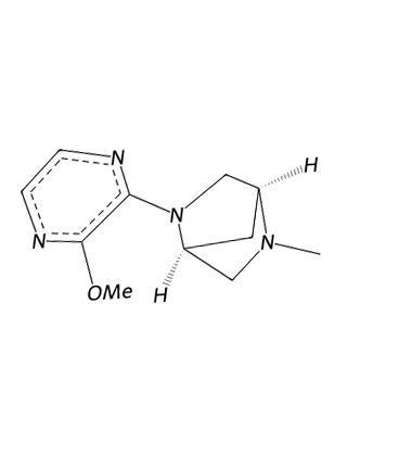 COc1nccnc1N1C[C@@H]2C[C@H]1CN2C